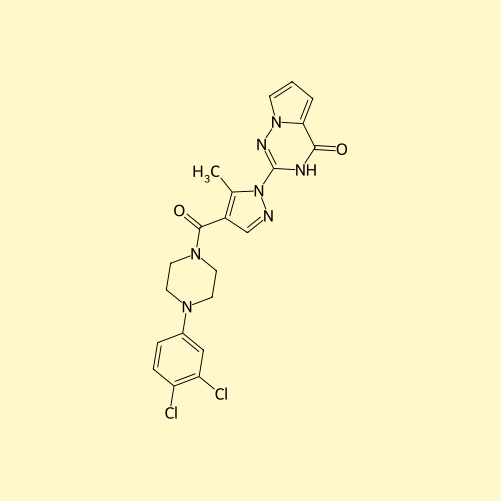 Cc1c(C(=O)N2CCN(c3ccc(Cl)c(Cl)c3)CC2)cnn1-c1nn2cccc2c(=O)[nH]1